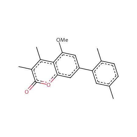 COc1cc(-c2cc(C)ccc2C)cc2oc(=O)c(C)c(C)c12